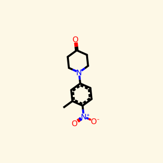 Cc1cc(N2CCC(=O)CC2)ccc1[N+](=O)[O-]